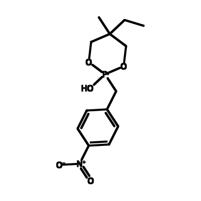 CCC1(C)CO[P](O)(Cc2ccc([N+](=O)[O-])cc2)OC1